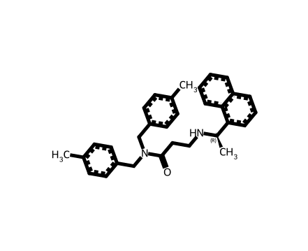 Cc1ccc(CN(Cc2ccc(C)cc2)C(=O)CCN[C@H](C)c2cccc3ccccc23)cc1